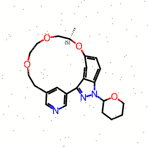 C[C@H]1COCCOCCc2cncc(c2)-c2nn(C3CCCCO3)c3ccc(cc23)O1